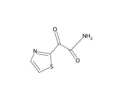 NC(=O)C(=O)c1nccs1